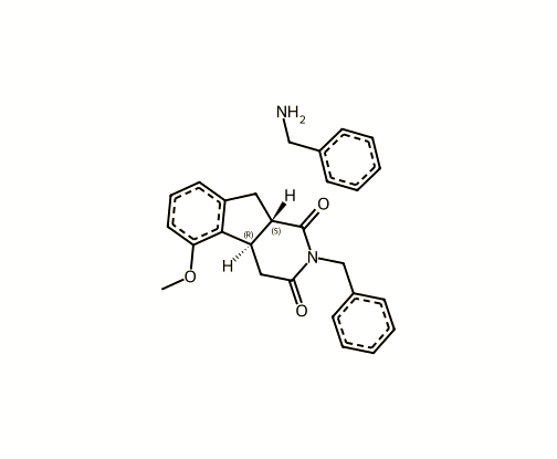 COc1cccc2c1[C@@H]1CC(=O)N(Cc3ccccc3)C(=O)[C@H]1C2.NCc1ccccc1